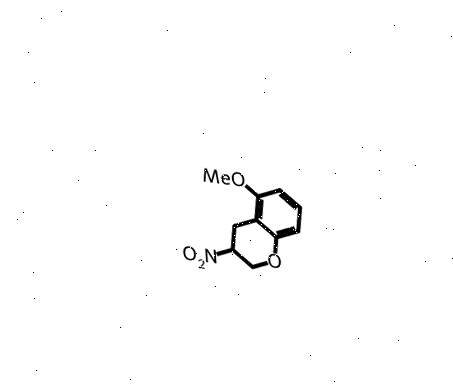 COc1cccc2c1CC([N+](=O)[O-])CO2